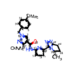 COc1ccc(Cn2cc(C(=O)Nc3cccc(-c4nnc5n4[C@@H](C)CC5)n3)c(OC)n2)cc1